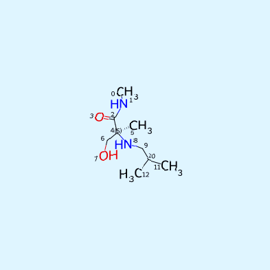 CNC(=O)[C@](C)(CO)NCC(C)C